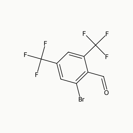 O=Cc1c(Br)cc(C(F)(F)F)cc1C(F)(F)F